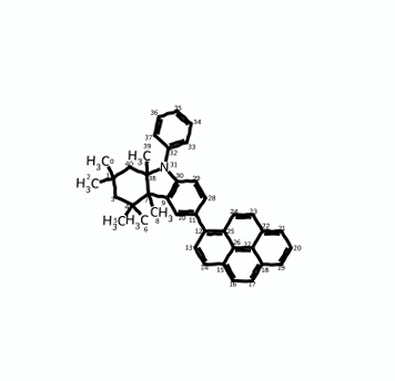 CC1(C)CC(C)(C)C2(C)c3cc(-c4ccc5ccc6cccc7ccc4c5c67)ccc3N(c3ccccc3)C2(C)C1